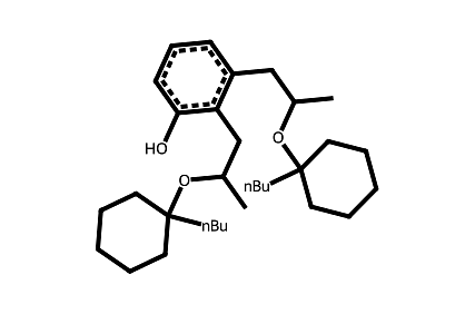 CCCCC1(OC(C)Cc2cccc(O)c2CC(C)OC2(CCCC)CCCCC2)CCCCC1